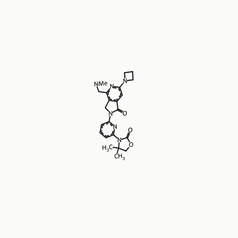 CNCc1nc(N2CCC2)cc2c1CN(c1cccc(N3C(=O)OCC3(C)C)n1)C2=O